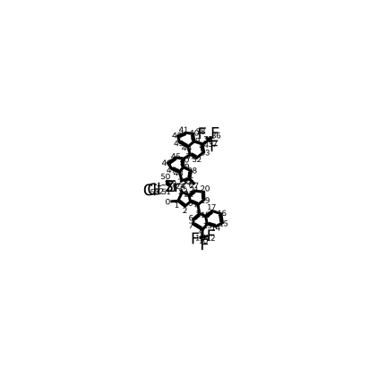 CC1=Cc2c(-c3ccc(C(F)(F)F)c4ccccc34)cccc2[CH]1[Zr+2]([CH]1C(C)=Cc2c(-c3ccc(C(F)(F)F)c4ccccc34)cccc21)=[Si](C)C.[Cl-].[Cl-]